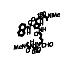 CN[C@@H](C)C(=O)NC(C(=O)N[C@H](C=O)CCCC(=O)N[C@@H]1CC(C(=O)[C@@H](NC(=O)[C@H](C)NC)C(C)(C)C)[C@H](C(=O)N[C@@H]2CCCc3ccccc32)C1)C(C)(C)C